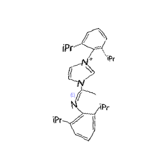 C/C(=N\c1c(C(C)C)cccc1C(C)C)n1cc[n+](-c2c(C(C)C)cccc2C(C)C)c1